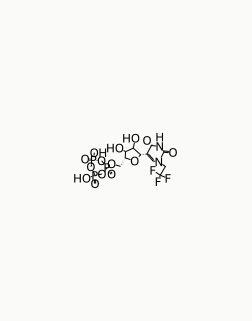 O=c1[nH]c(=O)n(CC(F)(F)F)cc1[C@@H]1O[C@H](COP2(=O)OP(=O)(O)OP(=O)(O)O2)C(O)C1O